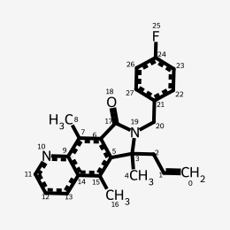 C=CCC1(C)c2c(c(C)c3ncccc3c2C)C(=O)N1Cc1ccc(F)cc1